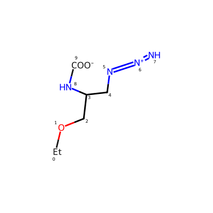 CCOCC(CN=[N+]=N)NC(=O)[O-]